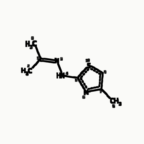 CC(C)=NNc1nc(C)cs1